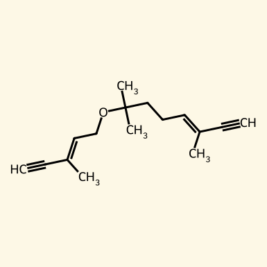 C#C/C(C)=C/CCC(C)(C)OC/C=C(\C)C#C